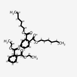 CCCCCCOC(=O)c1ccccc1C(=O)OCCCCCC.CCOC(=O)c1ccccc1C(=O)OCC